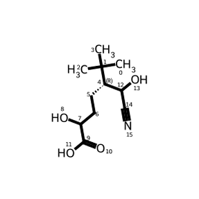 CC(C)(C)[C@@H](CCC(O)C(=O)O)C(O)C#N